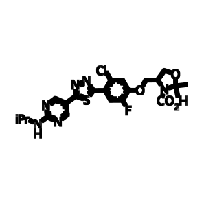 CC(C)Nc1ncc(-c2nnc(-c3cc(F)c(OCC4COC(C)(C)N4C(=O)O)cc3Cl)s2)cn1